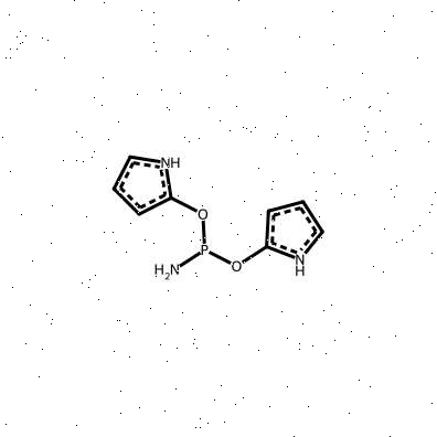 NP(Oc1ccc[nH]1)Oc1ccc[nH]1